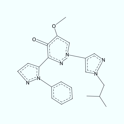 COc1cn(-c2cnn(CC(C)C)c2)nc(-c2ccnn2-c2ccccc2)c1=O